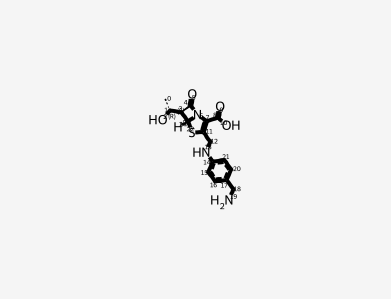 C[C@@H](O)[C@H]1C(=O)N2C(C(=O)O)=C(CNc3ccc(CN)cc3)S[C@H]12